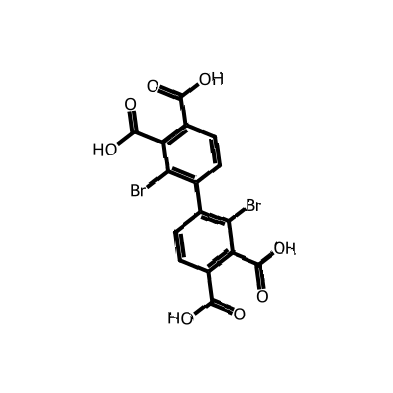 O=C(O)c1ccc(-c2ccc(C(=O)O)c(C(=O)O)c2Br)c(Br)c1C(=O)O